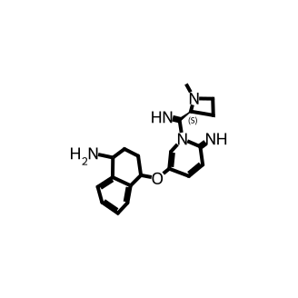 CN1CC[C@H]1C(=N)n1cc(OC2CCC(N)c3ccccc32)ccc1=N